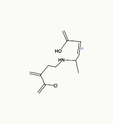 C=C(O)/C=C\C(C)NCCC(=C)C(=C)Cl